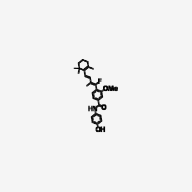 COc1cc(C(=O)Nc2ccc(O)cc2)ccc1/C(F)=C(C)/C=C/C1=C(C)CCCC1(C)C